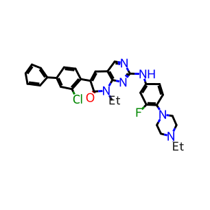 CCN1CCN(c2ccc(Nc3ncc4cc(-c5ccc(-c6ccccc6)cc5Cl)c(=O)n(CC)c4n3)cc2F)CC1